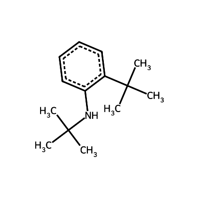 CC(C)(C)Nc1ccccc1C(C)(C)C